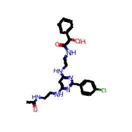 CC(=O)NCCNc1cc(NCCNC(=O)C(O)c2ccccc2)nc(-c2ccc(Cl)cc2)n1